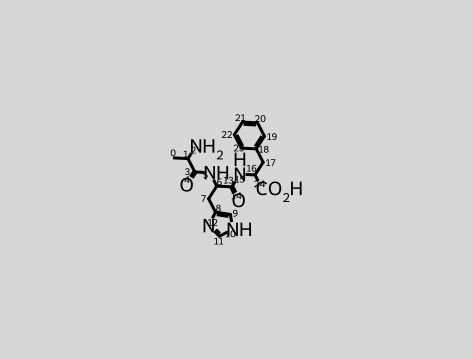 CC(N)C(=O)NC(Cc1c[nH]cn1)C(=O)NC(Cc1ccccc1)C(=O)O